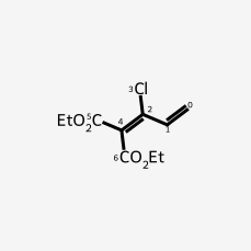 C=CC(Cl)=C(C(=O)OCC)C(=O)OCC